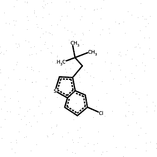 CC(C)(C)Cc1csc2ccc(Cl)cc12